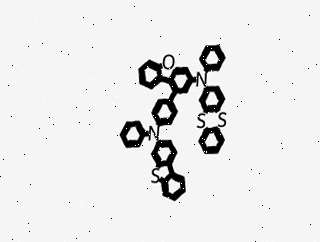 c1ccc(N(c2ccc3c(c2)Sc2ccccc2S3)c2cc(-c3ccc(N(c4ccccc4)c4ccc5c(c4)sc4ccccc45)cc3)c3c(c2)oc2ccccc23)cc1